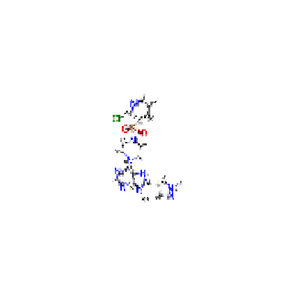 Cn1cc(-c2nc3c(N4CCN(S(=O)(=O)c5cccnc5Cl)CC4)ncnc3n2C)cn1